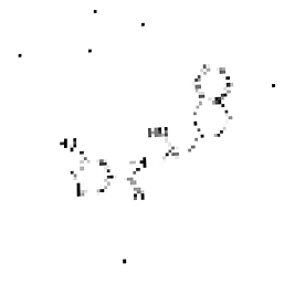 Cc1cc(C(=O)NC[C@H](O)CN2CCc3ccccc3C2)cnn1